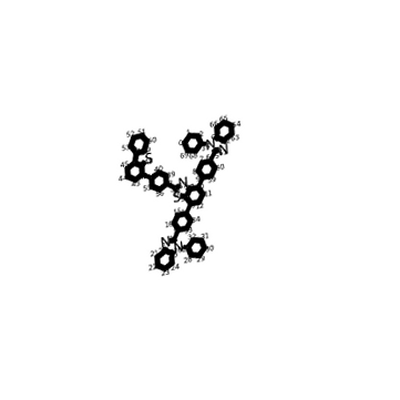 c1ccc(-n2c(-c3ccc(-c4ccc(-c5ccc(-c6nc7ccccc7n6-c6ccccc6)cc5)c5sc(-c6ccc(-c7cccc8c7sc7ccccc78)cc6)nc45)cc3)nc3ccccc32)cc1